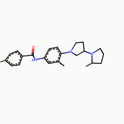 Cc1cc(NC(=O)c2ccc(Cl)cc2)ccc1N1CCC(N2CCCC2C)C1